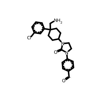 NCC1(c2cccc(Cl)c2)CCC(N2CCN(c3ccc([C]=O)cc3)C2=O)CC1